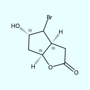 O=C1C[C@@H]2C(Br)[C@@H](O)C[C@@H]2O1